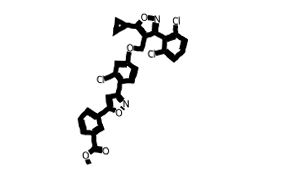 COC(=O)c1cccc(-c2cc(-c3ccc(OCc4c(-c5c(Cl)cccc5Cl)noc4C4CC4)cc3Cl)no2)c1